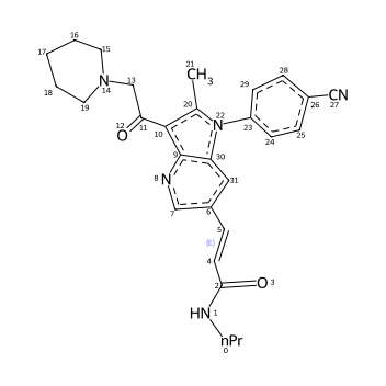 CCCNC(=O)/C=C/c1cnc2c(C(=O)CN3CCCCC3)c(C)n(-c3ccc(C#N)cc3)c2c1